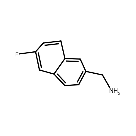 NCc1ccc2cc(F)ccc2c1